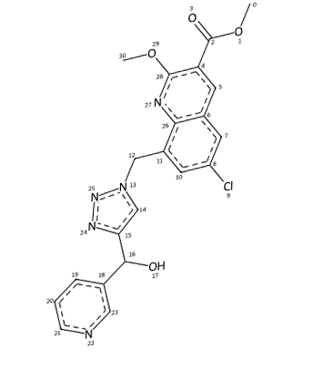 COC(=O)c1cc2cc(Cl)cc(Cn3cc(C(O)c4cccnc4)nn3)c2nc1OC